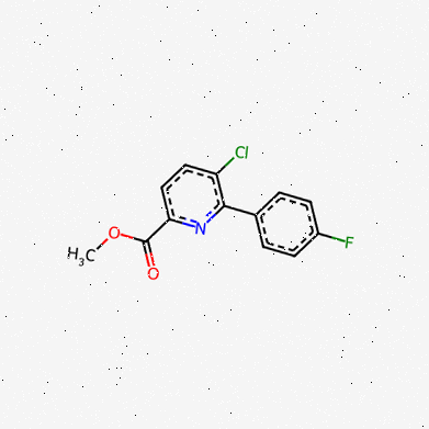 COC(=O)c1ccc(Cl)c(-c2ccc(F)cc2)n1